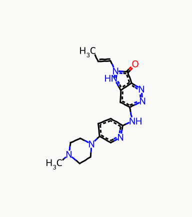 CC=Cn1[nH]c2cc(Nc3ccc(N4CCN(C)CC4)cn3)nnc2c1=O